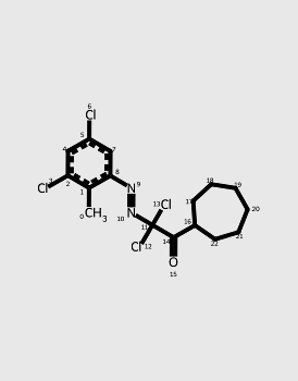 Cc1c(Cl)cc(Cl)cc1N=NC(Cl)(Cl)C(=O)C1CCCCCC1